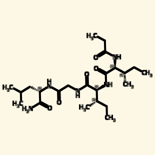 CCC(=O)N[C@H](C(=O)N[C@H](C(=O)NCC(=O)N[C@@H](CC(C)C)C(N)=O)[C@@H](C)CC)[C@@H](C)CC